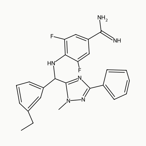 CCc1cccc(C(Nc2c(F)cc(C(=N)N)cc2F)c2nc(-c3ccccc3)nn2C)c1